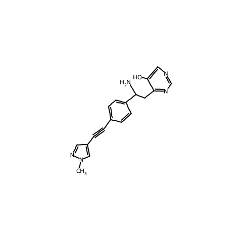 Cn1cc(C#Cc2ccc(C(N)Cc3ncncc3O)cc2)cn1